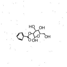 O=C(O[C@@H]1C(O)O[C@H](CO)[C@@H](O)[C@@H]1O)c1ccccc1